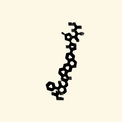 COC(=O)N[C@H](C(=O)N1C[C@@H](C)C[C@H]1c1ncc(-c2ccc3c(c2)COc2cc4c(ccc5nc(CN(CC(C)C)C(=O)[C@H](NC(=O)OC)c6ccccc6)[nH]c54)cc2-3)[nH]1)C(C)C